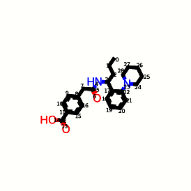 CCCC(NC(=O)Cc1ccc(C(=O)O)cc1)c1ccccc1N1CCCCC1